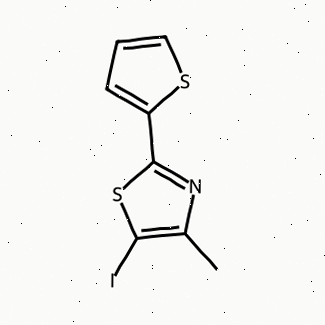 Cc1nc(-c2cccs2)sc1I